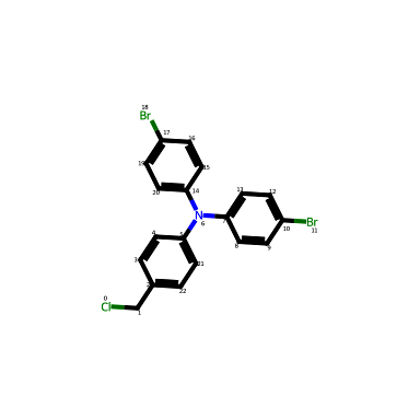 ClCc1ccc(N(c2ccc(Br)cc2)c2ccc(Br)cc2)cc1